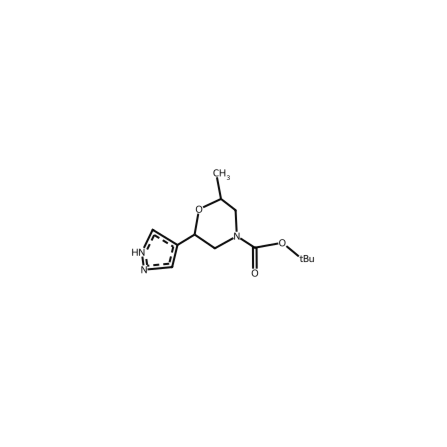 CC1CN(C(=O)OC(C)(C)C)CC(c2cn[nH]c2)O1